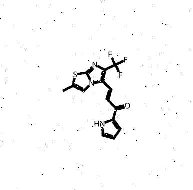 Cc1cn2c(C=CC(=O)c3ccc[nH]3)c(C(F)(F)F)nc2s1